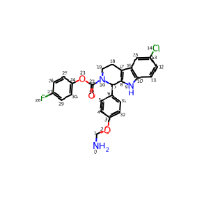 NCOc1ccc(C2c3[nH]c4ccc(Cl)cc4c3CCN2C(=O)Oc2ccc(F)cc2)cc1